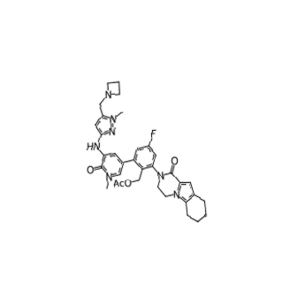 CC(=O)OCc1c(-c2cc(Nc3cc(CN4CCC4)n(C)n3)c(=O)n(C)c2)cc(F)cc1N1CCn2c(cc3c2CCCC3)C1=O